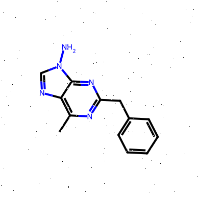 Cc1nc(Cc2ccccc2)nc2c1ncn2N